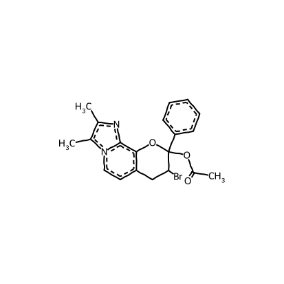 CC(=O)OC1(c2ccccc2)Oc2c(ccn3c(C)c(C)nc23)CC1Br